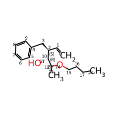 C=C[C@H](Cc1ccccc1)[C@@H](O)[C@H](C)OCCCC